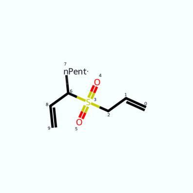 C=CCS(=O)(=O)C([CH]CCCC)C=C